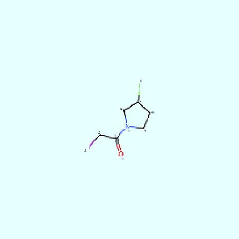 O=C(CI)N1CCC(F)C1